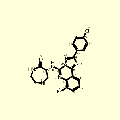 O=C1NCCNC[C@H]1Nc1nc2c(Br)cccc2c2nc(-c3ccc(Cl)cc3)nn12